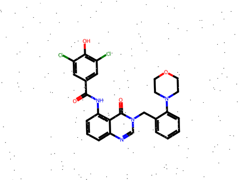 O=C(Nc1cccc2ncn(Cc3ccccc3N3CCOCC3)c(=O)c12)c1cc(Cl)c(O)c(Cl)c1